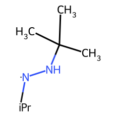 CC(C)[N]NC(C)(C)C